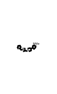 CNc1cccc(C2CCN(Cc3cn(Cc4ccccn4)nn3)CC2)c1